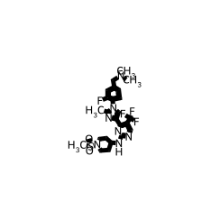 Cc1nc(-c2nc(NC3CCN(S(C)(=O)=O)CC3)ncc2C(F)(F)F)cn1-c1ccc(CN(C)C)cc1F